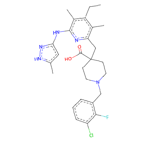 CCc1c(C)c(CC2(C(=O)O)CCN(Cc3cccc(Cl)c3F)CC2)nc(Nc2cc(C)[nH]n2)c1C